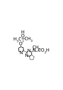 CN(CC(=O)O)c1nc(-c2cc(OCC(C)(C)O)ccn2)nc2c1CCC2